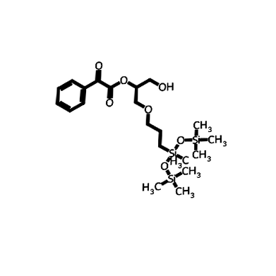 C[Si](C)(C)O[Si](C)(CCCOCC(CO)OC(=O)C(=O)c1ccccc1)O[Si](C)(C)C